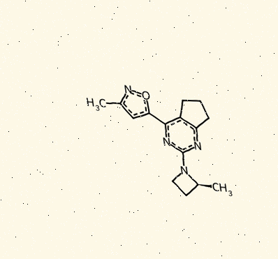 Cc1cc(-c2nc(N3CC[C@@H]3C)nc3c2CCC3)on1